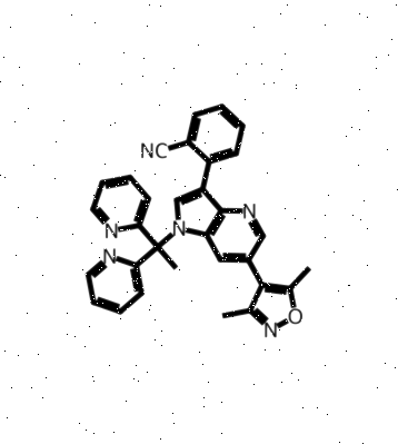 Cc1noc(C)c1-c1cnc2c(-c3ccccc3C#N)cn(C(C)(c3ccccn3)c3ccccn3)c2c1